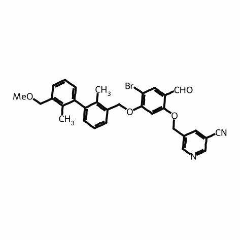 COCc1cccc(-c2cccc(COc3cc(OCc4cncc(C#N)c4)c(C=O)cc3Br)c2C)c1C